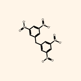 O=[N+]([O-])c1cc([CH]c2cc([N+](=O)[O-])cc([N+](=O)[O-])c2)cc([N+](=O)[O-])c1